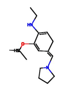 CCNC1=CCC(=CN2CCCC2)C=C1O[SiH](C)C